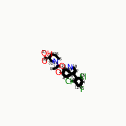 CC(Oc1ccc2c(-c3c(Cl)cc(F)cc3Cl)ccnc2c1)C(=O)N1CCC[C@H](C(=O)O)C1